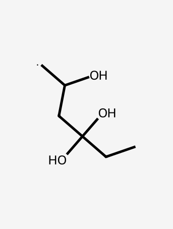 [CH2]C(O)CC(O)(O)CC